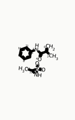 C=C(C)C(=O)Nc1ccccc1.CC1NS1(=O)=O